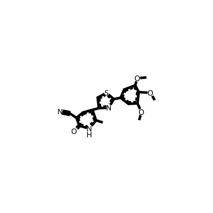 COc1cc(-c2nc(-c3cc(C#N)c(=O)[nH]c3C)cs2)cc(OC)c1OC